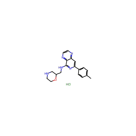 Cc1ccc(-c2cc3nccnc3c(NCC3CNCCO3)n2)cc1.Cl